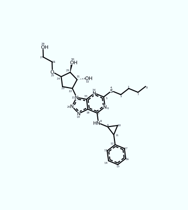 CCCCSc1nc(NC2CC2c2ccccc2)c2nnn(C3CC(OCCO)[C@@H](O)[C@@H]3O)c2n1